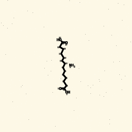 N.O=C(O)CCCCCCCCCCCCC(=O)O